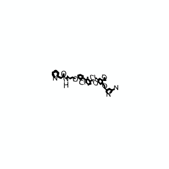 Cc1c(COc2cc(OCc3cncc(C#N)c3)c(C=O)cc2Cl)cccc1-c1cccc(OCCCNC(=O)Cc2ccccn2)c1Cl